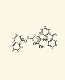 C=C(c1ccccc1)c1cccc2c(CCCOc3cccc4ccccc34)c(C(=O)O)[nH]c12